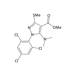 COC(=O)c1c(SC)nn(-c2c(Cl)cc(Cl)cc2Cl)c1N(C)C